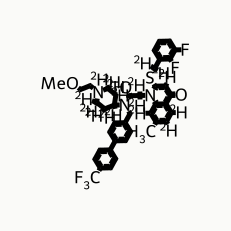 [2H]c1c(C)c([2H])c2c(c1[2H])c(=O)c([2H])c(SC([2H])([2H])c1cccc(F)c1F)n2C([2H])([2H])C(=O)N(Cc1ccc(-c2ccc(C(F)(F)F)cc2)cc1)C1([2H])C([2H])([2H])C([2H])([2H])N(CCOC)C([2H])([2H])C1([2H])[2H]